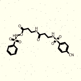 N#Cc1ccc(S(=O)(=O)NCCC(=O)NCCC(=O)ONS(=O)(=O)c2ccccc2)cc1